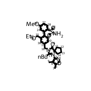 CCCCC1=[N+](c2noc(C)c2C)C2(CCCC2)C(=O)N1Cc1ccc(-c2cc(OC)ccc2S(N)(=O)=O)c(COCC)c1